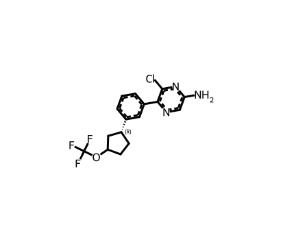 Nc1cnc(-c2cccc([C@@H]3CCC(OC(F)(F)F)C3)c2)c(Cl)n1